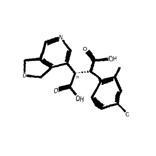 Cc1cc(Cl)ccc1C(C(=O)O)[C@H](C(=O)O)c1cncc2c1COC2